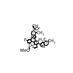 C=CC(=O)N1CCn2nc(-c3nc(-c4cnc5c(c4)C(C)N(C)CC5)c4ccsc4c3-c3c(F)cc(F)cc3OCCOC)cc2C1C